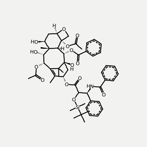 CC(=O)O[C@H]1C2=C(C)[C@@H](OC(=O)C(O[Si](C)(C)C(C)(C)C)[C@@H](NC(=O)c3ccccc3)c3ccccc3)C[C@@](O)([C@@H](OC(=O)c3ccccc3)[C@@H]3[C@]4(OC(C)=O)CO[C@@H]4C[C@H](O)[C@@]3(C)[C@H]1O)C2(C)C